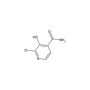 NC(=O)c1ccnc(Cl)c1O